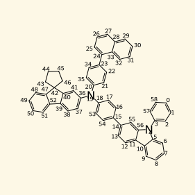 c1ccc(-n2c3ccccc3c3ccc(-c4ccc(N(c5ccc(-c6cccc7ccccc67)cc5)c5ccc6c(c5)C5(CCCC5)c5ccccc5-6)cc4)cc32)cc1